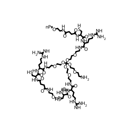 CCCOCCNC(=O)CCC(=O)NC(CS)C(=O)NC(CCCNC(=N)N)C(=O)NCCOCCOC(OCCOCCN)(OCCOCCNC(=O)C(CCCNC(=N)N)NC(=O)C(CS)NC(=O)CCC(=O)NCCOCCC)OCCOCCNC(=O)C(CCCNC(=N)N)NC(=O)C(CS)NC(C)(C)C